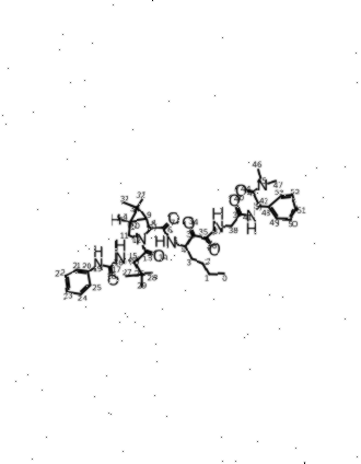 CCCCC(NC(=O)[C@@H]1C2[C@H](CN1C(=O)[C@@H](NC(=O)Nc1ccccc1)C(C)(C)C)C2(C)C)C(=O)C(=O)NCC(=O)N[C@H](C(=O)N(C)C)c1ccccc1